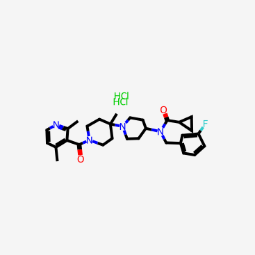 Cc1ccnc(C)c1C(=O)N1CCC(C)(N2CCC(N(Cc3cccc(F)c3)C(=O)C3CC3)CC2)CC1.Cl.Cl